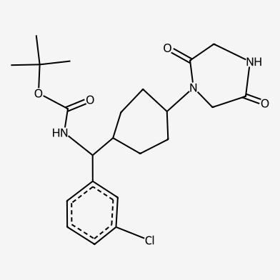 CC(C)(C)OC(=O)NC(c1cccc(Cl)c1)C1CCC(N2CC(=O)NCC2=O)CC1